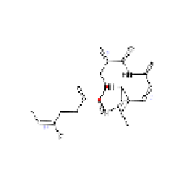 C=C(/C=C\C1=C(C)N2CCC1CC2)NC(=O)/C(=C/C)C(C)NC(=C)C(=C)CC/C(F)=C\C